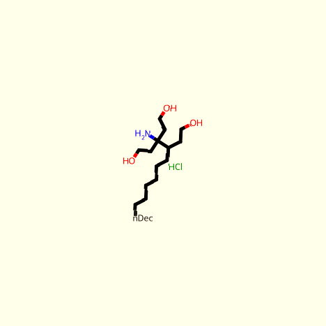 CCCCCCCCCCCCCCCCC(CCO)C(N)(CCO)CCO.Cl